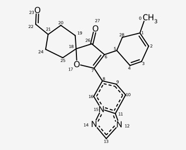 CC1=CC=CC(C2=C(c3ccc4ncnn4c3)OC3(CCC(C=O)CC3)C2=O)C1